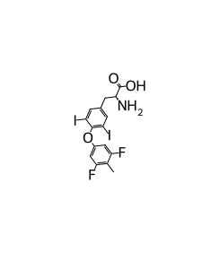 Cc1c(F)cc(Oc2c(I)cc(C[C@H](N)C(=O)O)cc2I)cc1F